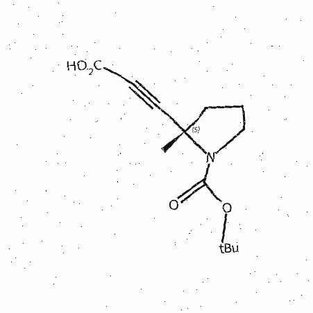 CC(C)(C)OC(=O)N1CCC[C@@]1(C)C#CC(=O)O